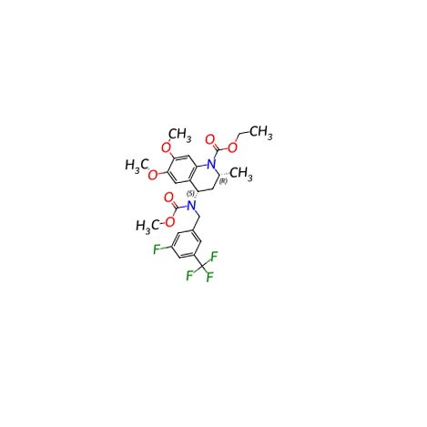 CCOC(=O)N1c2cc(OC)c(OC)cc2[C@@H](N(Cc2cc(F)cc(C(F)(F)F)c2)C(=O)OC)C[C@H]1C